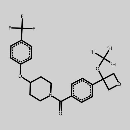 [2H]C([2H])([2H])OC1(c2ccc(C(=O)N3CCC(Oc4ccc(C(F)(F)F)cc4)CC3)cc2)COC1